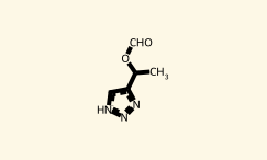 CC(OC=O)c1c[nH]nn1